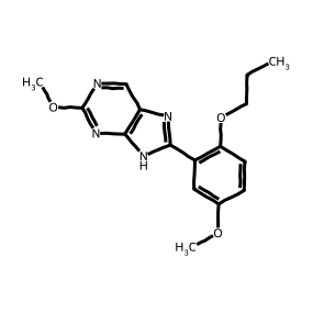 CCCOc1ccc(OC)cc1-c1nc2cnc(OC)nc2[nH]1